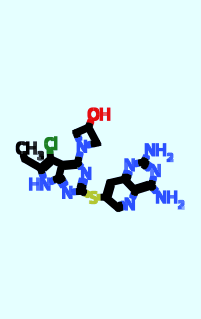 CCc1[nH]c2nc(Sc3cnc4c(N)nc(N)nc4c3)nc(N3CC(O)C3)c2c1Cl